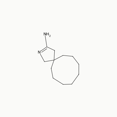 NC1=NCC2(CCCCCCCC2)C1